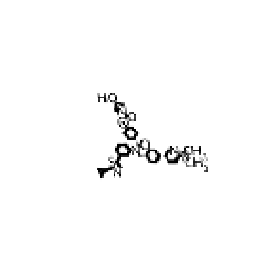 CN(C)c1ccc([C@H]2CC[C@H](CN(c3cccc(-c4cnc(C5CC5)s4)c3)C(=O)[C@H]3CC[C@H](OC(=O)N4CC(O)C4)CC3)CC2)cn1